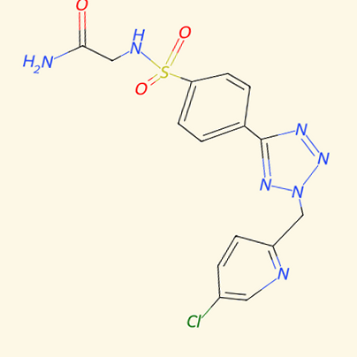 NC(=O)CNS(=O)(=O)c1ccc(-c2nnn(Cc3ccc(Cl)cn3)n2)cc1